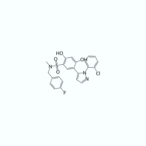 CN(Cc1ccc(F)cc1)S(=O)(=O)c1cc(-c2ccnn2-c2ccccc2Cl)c(O)cc1O